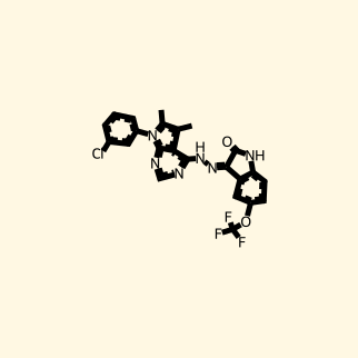 Cc1c(C)n(-c2cccc(Cl)c2)c2ncnc(N/N=C3\C(=O)Nc4ccc(OC(F)(F)F)cc43)c12